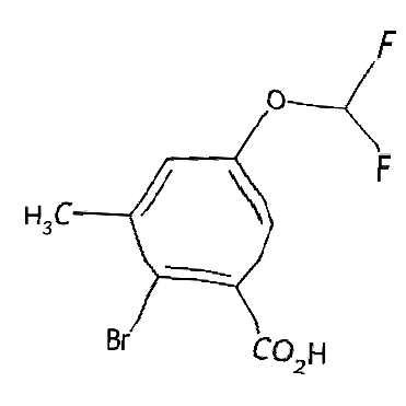 Cc1cc(OC(F)F)cc(C(=O)O)c1Br